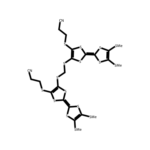 CSC1=C(SC)SC(=C2SC(SCCC#N)=C(SCSC3=C(SCCC#N)SC(=C4SC(SC)=C(SC)S4)S3)S2)S1